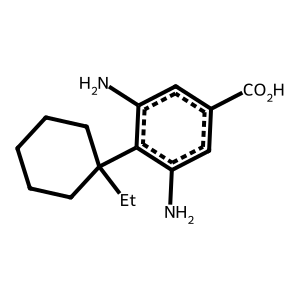 CCC1(c2c(N)cc(C(=O)O)cc2N)CCCCC1